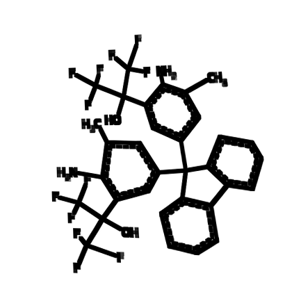 Cc1cc(C2(c3cc(C)c(N)c(C(O)(C(F)(F)F)C(F)(F)F)c3)c3ccccc3-c3ccccc32)cc(C(O)(C(F)(F)F)C(F)(F)F)c1N